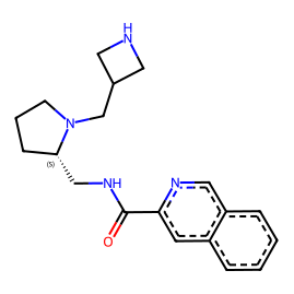 O=C(NC[C@@H]1CCCN1CC1CNC1)c1cc2ccccc2cn1